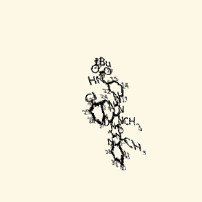 Cc1nc(Cn2c(=O)c3c(nc(N4CCC[C@@H](NC(=O)OC(C)(C)C)C4)n3Cc3ccccc3Cl)n(C)c2=O)nc2ccccc12